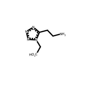 NCCc1nnnn1CC(=O)O